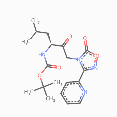 CC(C)C[C@H](NC(=O)OC(C)(C)C)C(=O)Cn1c(-c2ccccn2)noc1=O